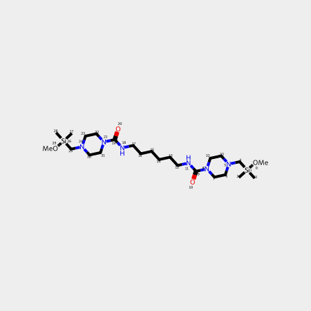 CO[Si](C)(C)CN1CCN(C(=O)NCCCCCCNC(=O)N2CCN(C[Si](C)(C)OC)CC2)CC1